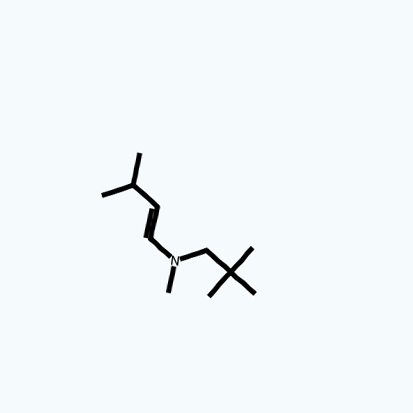 CC(C)C=CN(C)CC(C)(C)C